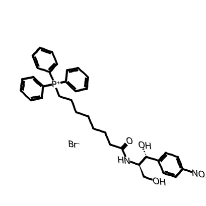 O=C(CCCCCCC[P+](c1ccccc1)(c1ccccc1)c1ccccc1)N[C@H](CO)[C@H](O)c1ccc([N+](=O)[O-])cc1.[Br-]